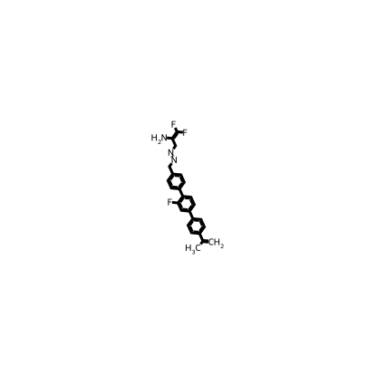 C=C(C)c1ccc(-c2ccc(-c3ccc(CN=NCC(N)=C(F)F)cc3)c(F)c2)cc1